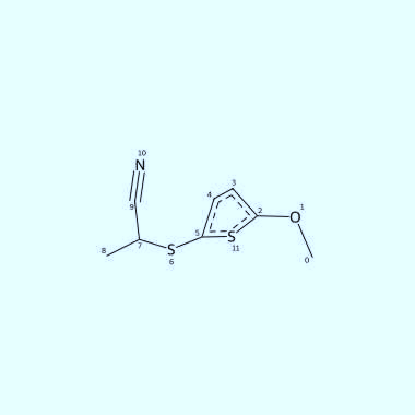 COc1ccc(SC(C)C#N)s1